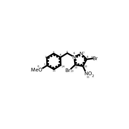 COc1ccc(Cn2nc(Br)c([N+](=O)[O-])c2Br)cc1